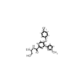 CC[C@H](CO)NC(=O)c1ncc(Oc2ccc(C(F)(F)F)cc2)c(-c2ccn(C)n2)n1